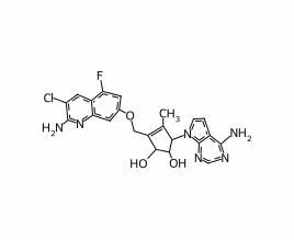 CC1=C(COc2cc(F)c3cc(Cl)c(N)nc3c2)C(O)C(O)C1n1ccc2c(N)ncnc21